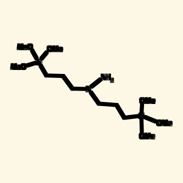 CO[Si](CCCN(N)CCC[Si](OC)(OC)OC)(OC)OC